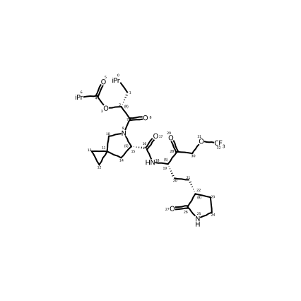 CC(C)C[C@@H](OC(=O)C(C)C)C(=O)N1CC2(CC2)C[C@H]1C(=O)N[C@@H](CC[C@@H]1CCNC1=O)C(=O)COC(F)(F)F